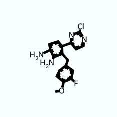 COc1ccc(Cc2c(-c3ccnc(Cl)n3)ccc(N)c2N)cc1F